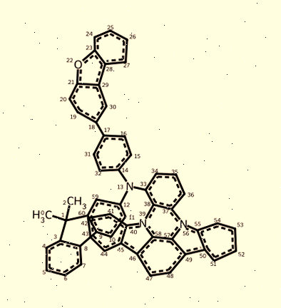 CC1(C)c2ccccc2-c2ccc(N(c3ccc(-c4ccc5oc6ccccc6c5c4)cc3)c3cccc4c3n3c5ccccc5c5ccc6c7ccccc7n4c6c53)cc21